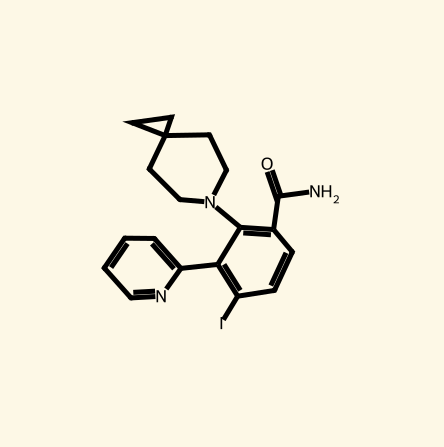 NC(=O)c1ccc(I)c(-c2ccccn2)c1N1CCC2(CC1)CC2